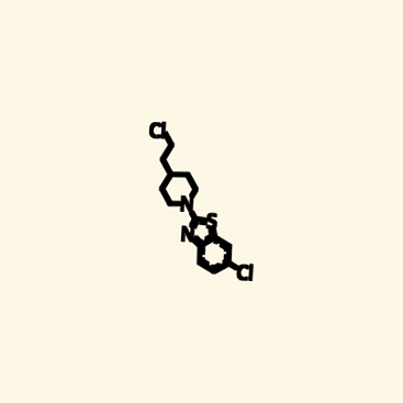 ClCCC1CCN(c2nc3ccc(Cl)cc3s2)CC1